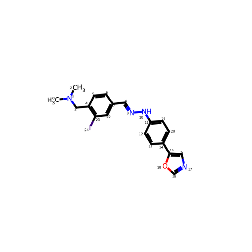 CN(C)Cc1ccc(C=NNc2ccc(-c3cnco3)cc2)cc1I